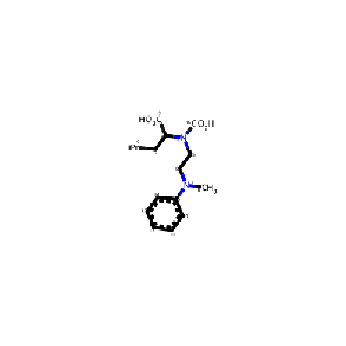 CC(C)CC(C(=O)O)N(CCN(C)c1ccccc1)C(=O)O